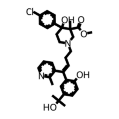 COC(=O)C1(C)CN(CC/C=C(/c2cc(C(C)(C)O)ccc2O)c2cccnc2C)CCC1(O)c1ccc(Cl)cc1